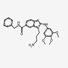 COc1cc(Nc2nc3ccc(C(=O)NCc4ccccc4)cc3n2CCCN)cc(OC)c1OC